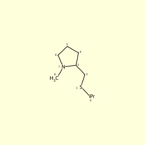 CC(C)SCC1CCCN1C